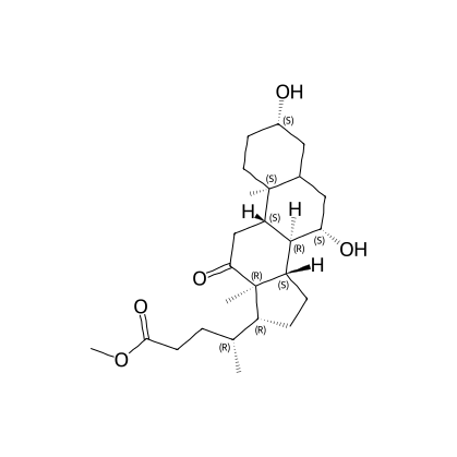 COC(=O)CC[C@@H](C)[C@H]1CC[C@H]2[C@@H]3[C@@H](O)CC4C[C@@H](O)CC[C@]4(C)[C@H]3CC(=O)[C@]12C